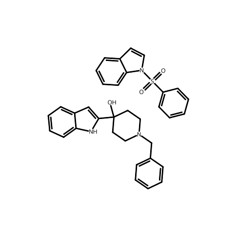 O=S(=O)(c1ccccc1)n1ccc2ccccc21.OC1(c2cc3ccccc3[nH]2)CCN(Cc2ccccc2)CC1